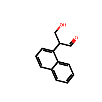 O=CC(CO)c1cccc2ccccc12